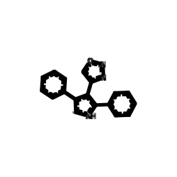 [c]1[nH]c(-c2ccccc2)c(-c2conn2)c1-c1ccccc1